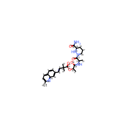 CCc1ccc2ccc(/C=C/C(C)(C)C(=O)OC(C)C(=O)NC(C)C(=O)N3CCCC(C(N)=O)N3)cc2n1